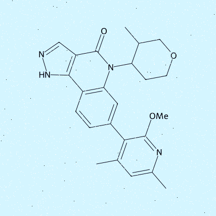 COc1nc(C)cc(C)c1-c1ccc2c3[nH]ncc3c(=O)n(C3CCOCC3C)c2c1